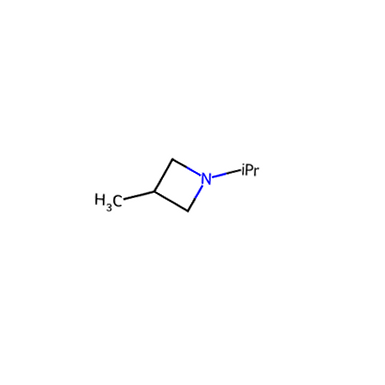 CC1CN(C(C)C)C1